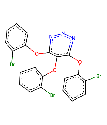 Brc1ccccc1Oc1nnnc(Oc2ccccc2Br)c1Oc1ccccc1Br